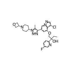 CC[C@@](O)(COc1cc(-c2nnn(C3CCN(C4COC4)CC3)c2C)cn2ncc(Cl)c12)c1ccc(F)cn1